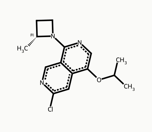 CC(C)Oc1cnc(N2CC[C@H]2C)c2cnc(Cl)cc12